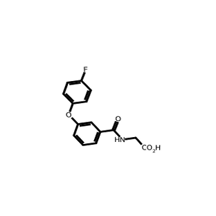 O=C(O)CNC(=O)c1cccc(Oc2ccc(F)cc2)c1